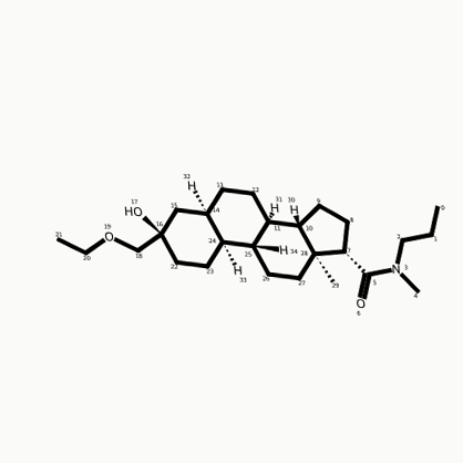 CCCN(C)C(=O)[C@H]1CC[C@H]2[C@@H]3CC[C@@H]4C[C@@](O)(COCC)CC[C@@H]4[C@H]3CC[C@]12C